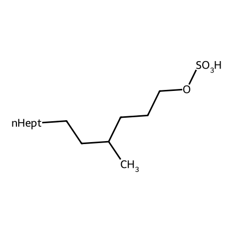 CCCCCCCCCC(C)CCCOS(=O)(=O)O